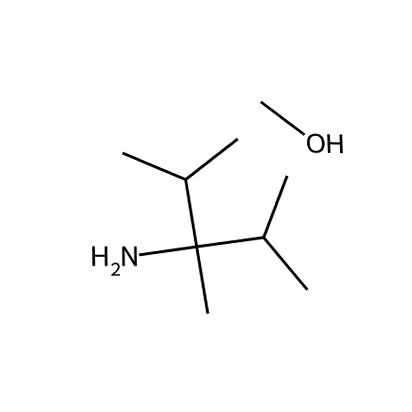 CC(C)C(C)(N)C(C)C.CO